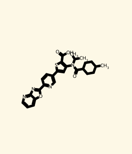 CC1CCC(C(=O)N(c2cc(-c3ccc(-c4nc5ncccc5o4)nc3)sc2C(=O)O)C(C)C)CC1